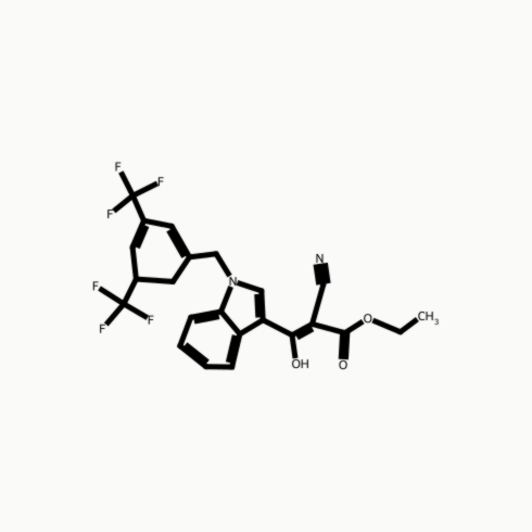 CCOC(=O)/C(C#N)=C(\O)c1cn(CC2=CC(C(F)(F)F)=CC(C(F)(F)F)C2)c2ccccc12